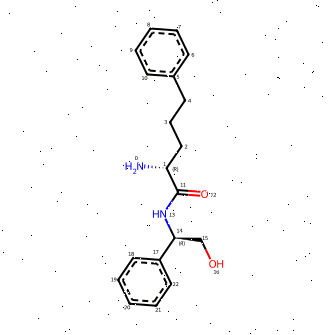 N[C@H](CCCc1ccccc1)C(=O)N[C@@H](CO)c1ccccc1